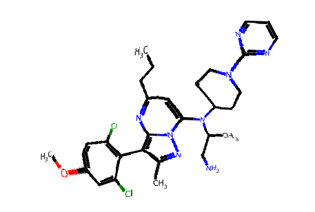 CCCc1cc(N(C(C)CN)C2CCN(c3ncccn3)CC2)n2nc(C)c(-c3c(Cl)cc(OC)cc3Cl)c2n1